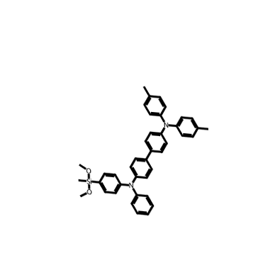 CO[Si](C)(OC)c1ccc(N(c2ccccc2)c2ccc(-c3ccc(N(c4ccc(C)cc4)c4ccc(C)cc4)cc3)cc2)cc1